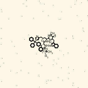 CNC(=O)C(Cc1c[nH]c2ccccc12)NC(=O)C(CCCc1cn(C(c2ccccc2)(c2ccccc2)c2ccccc2)cn1)NC(=O)[C@@H](Cc1ccccc1)NC(=O)OC(C)(C)C